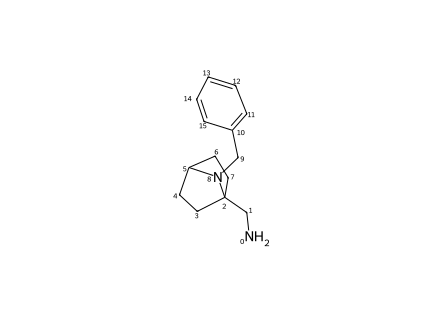 NCC12CCC(CC1)N2Cc1ccccc1